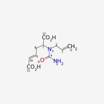 C=CCN(C(N)=O)C(CC=CC(=O)O)C(=O)O